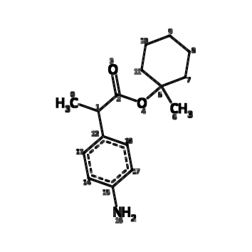 CC(C(=O)OC1(C)CCCCC1)c1ccc(N)cc1